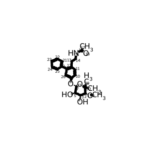 CO[C@@H]1[C@@H](O)[C@@H](O)[C@H](Oc2ccc(CCNC(C)=O)c(-c3ccccc3)c2)OC1(C)C